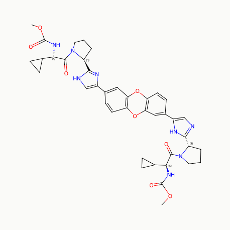 COC(=O)N[C@H](C(=O)N1CCC[C@H]1c1nc(-c2ccc3c(c2)Oc2ccc(-c4cnc([C@@H]5CCCN5C(=O)[C@@H](NC(=O)OC)C5CC5)[nH]4)cc2O3)c[nH]1)C1CC1